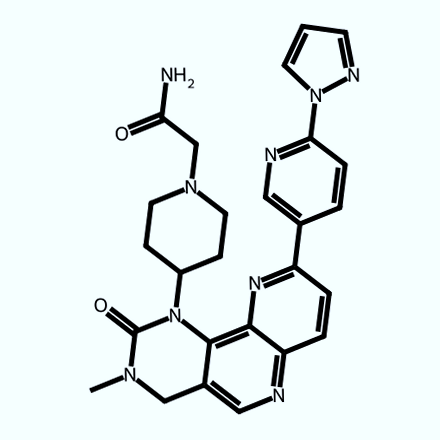 CN1Cc2cnc3ccc(-c4ccc(-n5cccn5)nc4)nc3c2N(C2CCN(CC(N)=O)CC2)C1=O